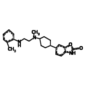 Cc1ccccc1NCCN(C)C1CCC(c2ccc3[nH]c(=O)oc3c2)CC1